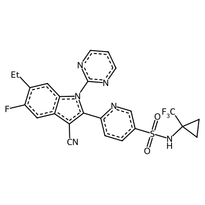 CCc1cc2c(cc1F)c(C#N)c(-c1ccc(S(=O)(=O)NC3(C(F)(F)F)CC3)cn1)n2-c1ncccn1